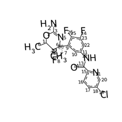 CC1OC(N)=N[C@@](CF)(c2cc(NC(=O)c3ccc(Cl)cn3)cc(F)c2F)[C@@H]1C